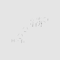 CCCc1c(C(=O)NCc2ccc(-c3ccc(O)c(Br)c3)cc2)cnn1-c1ccccc1